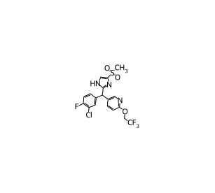 CS(=O)(=O)c1c[nH]c(C(c2ccc(OCC(F)(F)F)nc2)c2ccc(F)c(Cl)c2)n1